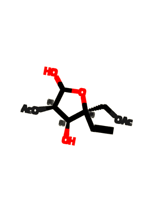 C=C[C@]1(COC(C)=O)OC(O)[C@H](OC(C)=O)[C@@H]1O